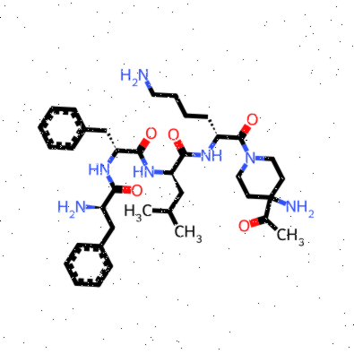 CC(=O)C1(N)CCN(C(=O)[C@@H](CCCCN)NC(=O)[C@@H](CC(C)C)NC(=O)[C@@H](Cc2ccccc2)NC(=O)[C@H](N)Cc2ccccc2)CC1